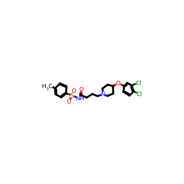 Cc1ccc(S(=O)(=O)NC(=O)CCCN2CCC(Oc3ccc(Cl)c(Cl)c3)CC2)cc1